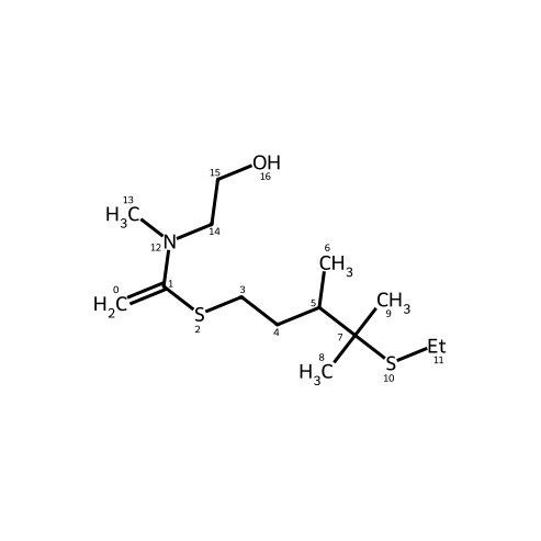 C=C(SCCC(C)C(C)(C)SCC)N(C)CCO